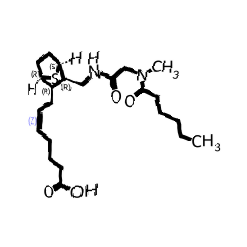 CCCCCC(=O)N(C)CC(=O)NC[C@H]1[C@@H](C/C=C\CCCC(=O)O)[C@H]2CC[C@@H]1S2